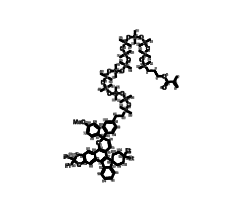 C=C(C)C(=O)OCCC[Si](C)(C)O[Si](C)(C)O[Si](C)(C)O[Si](C)(C)O[Si](C)(C)O[Si](C)(C)O[Si](C)(C)O[Si](C)(C)O[Si](C)(C)O[Si](C)(C)O[Si](C)(C)O[Si](C)(C)O[Si](C)(C)CCc1ccc(C2(c3ccc(OC)cc3)C=Cc3c4c(c5cc6c(cc5c3O2)SC(C(C)C)(C(C)C)O6)-c2ccccc2C42CCC(CC)(CC)CC2)cc1